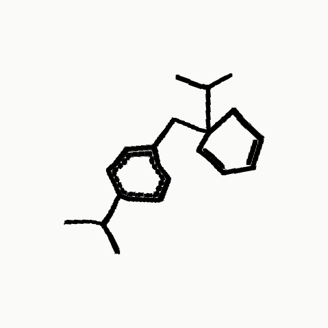 CC(C)c1ccc(CC2(C(C)C)C=CC=CC2)cc1